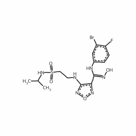 CC(C)NS(=O)(=O)CCNc1nonc1/C(=N/O)Nc1ccc(F)c(Br)c1